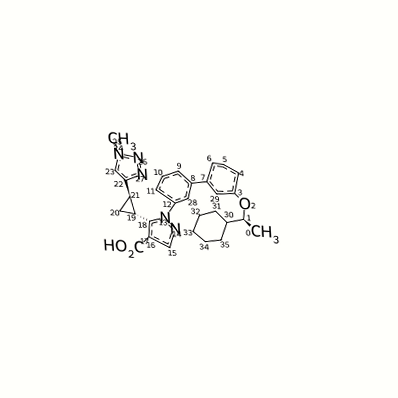 C[C@H](Oc1cccc(-c2cccc(-n3ncc(C(=O)O)c3[C@@H]3C[C@H]3c3cn(C)nn3)c2)c1)C1CCCCC1